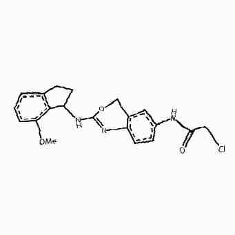 COc1cccc2c1C(NC1=Nc3ccc(NC(=O)CCl)cc3CO1)CC2